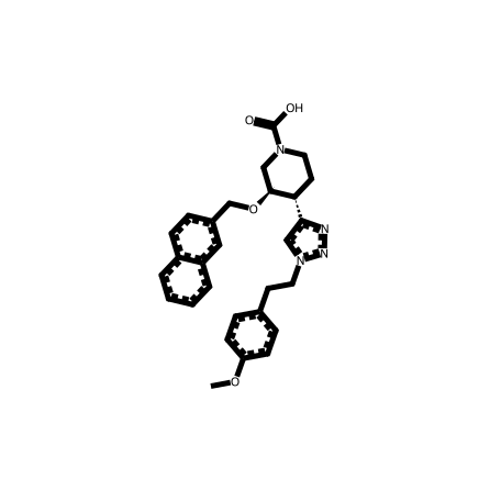 COc1ccc(CCn2cc([C@H]3CCN(C(=O)O)C[C@@H]3OCc3ccc4ccccc4c3)nn2)cc1